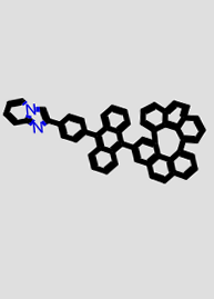 c1ccc2c(-c3cc4ccc5cccc6c7cccc8ccc9cccc(c(c3)c4c56)c9c87)c3ccccc3c(-c3ccc(-c4cn5ccccc5n4)cc3)c2c1